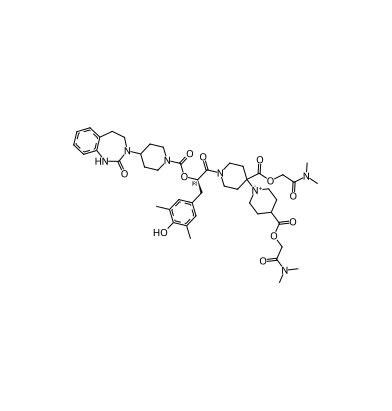 Cc1cc(C[C@@H](OC(=O)N2CCC(N3CCc4ccccc4NC3=O)CC2)C(=O)N2CCC(C(=O)OCC(=O)N(C)C)([N+]3CCC(C(=O)OCC(=O)N(C)C)CC3)CC2)cc(C)c1O